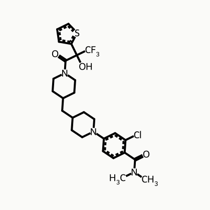 CN(C)C(=O)c1ccc(N2CCC(CC3CCN(C(=O)C(O)(c4cccs4)C(F)(F)F)CC3)CC2)cc1Cl